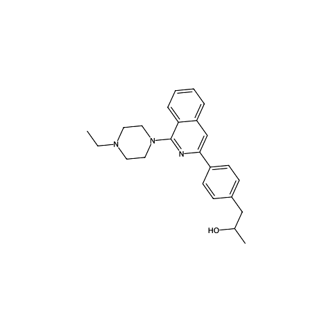 CCN1CCN(c2nc(-c3ccc(CC(C)O)cc3)cc3ccccc23)CC1